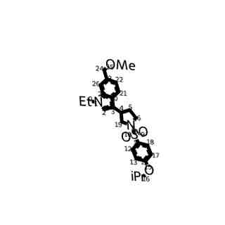 CCn1cc(C2CCN(S(=O)(=O)c3ccc(OC(C)C)cc3)C2)c2ccc(COC)cc21